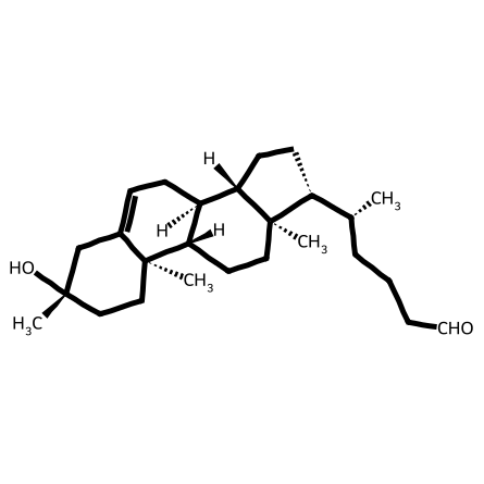 C[C@H](CCCC=O)[C@H]1CC[C@H]2[C@@H]3CC=C4C[C@@](C)(O)CC[C@]4(C)[C@H]3CC[C@]12C